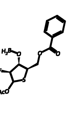 BO[C@H]1[C@H](F)C(OC(C)=O)S[C@@H]1COC(=O)c1ccccc1